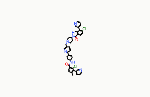 Cc1ccc(C(=O)NC2CC=C(c3ccc(CN4CCC(NC(=O)c5ccc(Cl)c(-c6cccnc6)c5C)CC4)cn3)CC2)c(Cl)c1-c1cccnc1